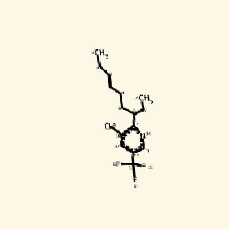 CCCCCCC(CC)c1ncc(C(F)(F)F)cc1Cl